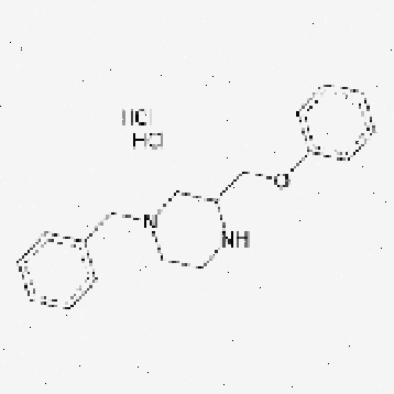 Cl.Cl.c1ccc(CN2CCNC(COc3ccccc3)C2)cc1